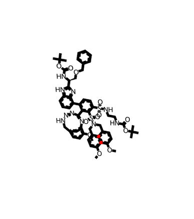 COc1ccc(CN(Cc2ccc(OC)cc2)S(=O)(=O)c2c(S(=O)(=O)NCCNC(=O)OC(C)(C)C)ccc(-c3cccc4[nH]c([C@H](COCc5ccccc5)NC(=O)OC(C)(C)C)nc34)c2C2=N/c3cc(ccc3OC)CN/N=N\2)cc1